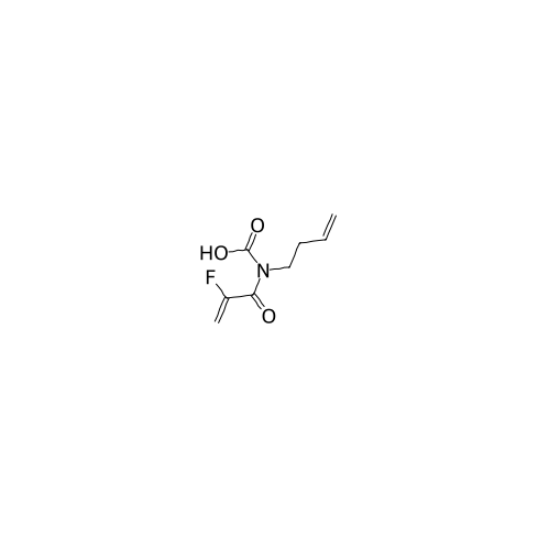 C=CCCN(C(=O)O)C(=O)C(=C)F